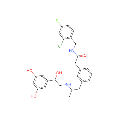 CC(Cc1cccc(CC(=O)NCc2ccc(F)cc2Cl)c1)NCC(O)c1cc(O)cc(O)c1